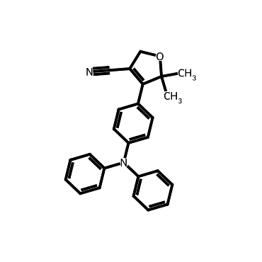 CC1(C)OCC(C#N)=C1c1ccc(N(c2ccccc2)c2ccccc2)cc1